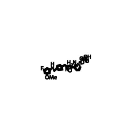 COc1cc(F)cc(NCc2ccc(Cc3cc(-c4ccc[n+](COP(=O)([O-])O)c4N)on3)cc2)c1